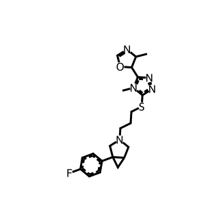 CC1N=COC1c1nnc(SCCCN2CC3CC3(c3ccc(F)cc3)C2)n1C